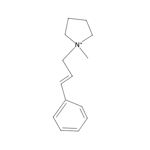 C[N+]1(CC=Cc2ccccc2)CCCC1